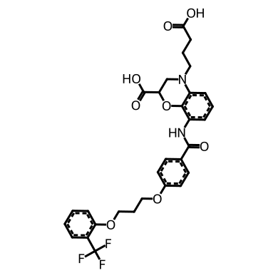 O=C(O)CCCN1CC(C(=O)O)Oc2c(NC(=O)c3ccc(OCCCOc4ccccc4C(F)(F)F)cc3)cccc21